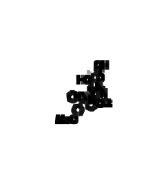 C#C[C@]1(O)[C@H](n2cnc3c(OCC)nc(NC(c4ccccc4)(c4ccccc4)c4ccc(OC)cc4)nc32)O[C@](F)(CO)[C@H]1C